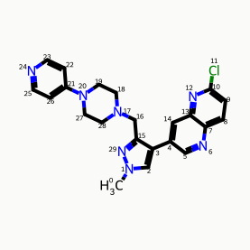 Cn1cc(-c2cnc3ccc(Cl)nc3c2)c(CN2CCN(c3ccncc3)CC2)n1